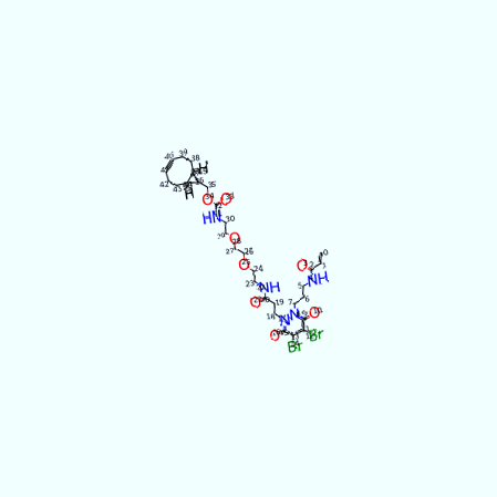 C=CC(=O)NCCCn1c(=O)c(Br)c(Br)c(=O)n1CCC(=O)NCCOCCOCCNC(=O)OCC1[C@H]2CCC#CCC[C@@H]12